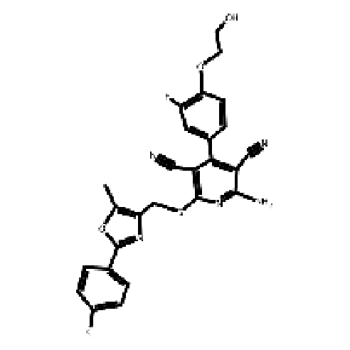 Cc1oc(-c2ccc(Cl)cc2)nc1CSc1nc(N)c(C#N)c(-c2ccc(OCCO)c(F)c2)c1C#N